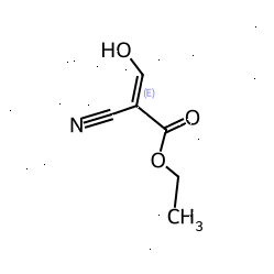 CCOC(=O)/C(C#N)=C/O